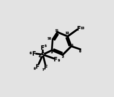 Cc1cc(S(F)(F)(F)(F)F)ccc1F